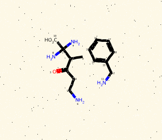 CC(C(=O)CCN)C(N)(N)C(=O)O.NCc1ccccc1